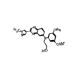 COc1cc(OC)cc(N(CCO)c2ccc3ncc(-c4cnn(C)c4)nc3c2)c1